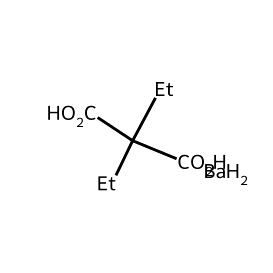 CCC(CC)(C(=O)O)C(=O)O.[BaH2]